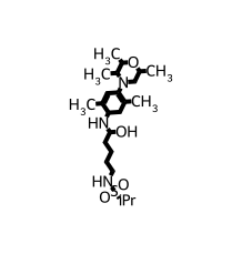 CC1=CC(N2CC(C)OC(C)C2C)=C(C)CC1NC(O)CCCCNS(=O)(=O)C(C)C